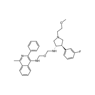 COCCN1C[C@@H](NCOCNc2c(-c3ccccc3)nc(C)c3ccccc23)[C@H](c2cccc(F)c2)C1